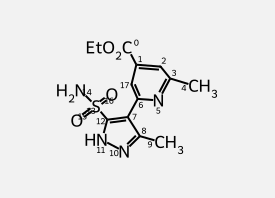 CCOC(=O)c1cc(C)nc(-c2c(C)n[nH]c2S(N)(=O)=O)c1